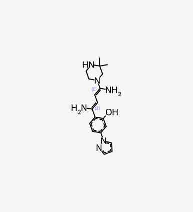 CC1(C)CN(/C(N)=C/C=C(\N)c2ccc(-n3cccn3)cc2O)CCN1